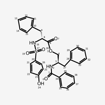 O=C(N[C@@H](COC(=O)[C@@H](Cc1ccccc1)NS(=O)(=O)c1ccc(O)cc1)Cc1ccccc1)c1ccccc1